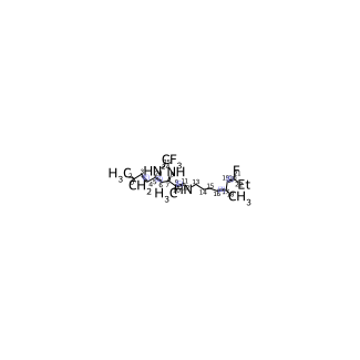 C=C(C)/C=C/C(=C/C(=N)/C(C)=C/NCCC/C=C(C)\C=C(\F)CC)NCC(F)(F)F